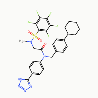 CN(CC(=O)N(Cc1ccc(C2CCCCC2)cc1)c1ccc(-c2nnn[nH]2)cc1)S(=O)(=O)c1c(F)c(F)c(F)c(F)c1F